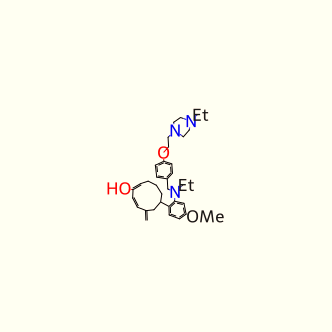 C=C1/C=C\C(O)=C/CCCC(c2ccc(OC)cc2N(CC)Cc2ccc(OCCN3CCN(CC)CC3)cc2)C1